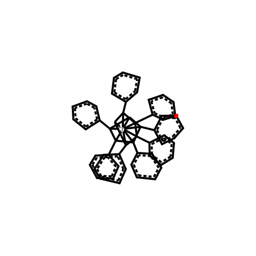 c1ccc([C]23[CH]4[C]5(c6ccccc6)[C]6(c7ccccc7)[C]2(c2ccccc2)[Cr]43562789[CH]3[C]2(c2ccccc2)[C]7(c2ccccc2)[C]8(c2ccccc2)[C]39c2ccccc2)cc1